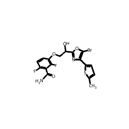 Cc1ccc(-c2nc(C(O)COc3ccc(F)c(C(N)=O)c3F)oc2Br)s1